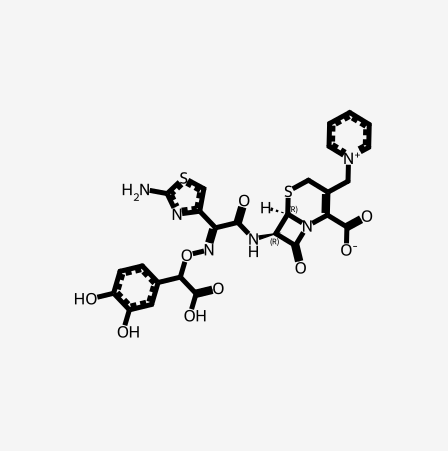 Nc1nc(C(=NOC(C(=O)O)c2ccc(O)c(O)c2)C(=O)N[C@@H]2C(=O)N3C(C(=O)[O-])=C(C[n+]4ccccc4)CS[C@H]23)cs1